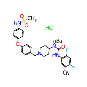 CCCCN(C(=O)Nc1cc(C#N)c(F)cc1F)C1CCN(Cc2ccc(Oc3ccc(NS(C)(=O)=O)cc3)cc2)CC1.Cl